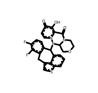 O=C1c2c(O)c(=O)ccn2N(C2c3ccc(F)c(F)c3Cc3csc4cccc2c34)C2COCCN12